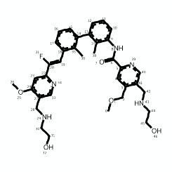 COCc1cc(C(=O)Nc2cccc(-c3cccc(/C=C(\F)c4cc(OC)c(CNCCO)cn4)c3C)c2C)ncc1CNCCO